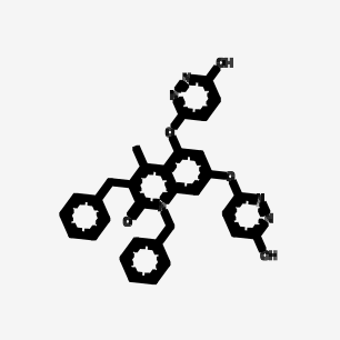 Cc1c(Cc2ccccc2)c(=O)n(Cc2ccccc2)c2cc(Oc3ccc(O)nn3)cc(Oc3ccc(O)nn3)c12